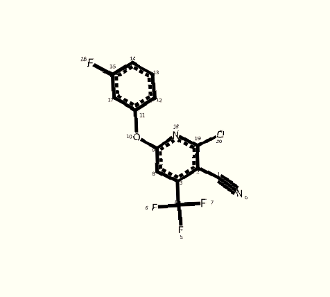 N#Cc1c(C(F)(F)F)cc(Oc2cccc(F)c2)nc1Cl